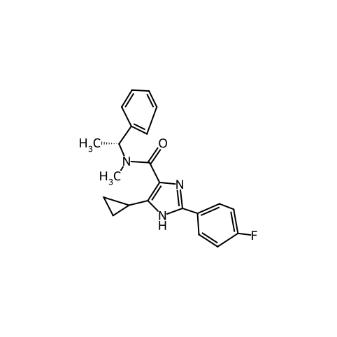 C[C@H](c1ccccc1)N(C)C(=O)c1nc(-c2ccc(F)cc2)[nH]c1C1CC1